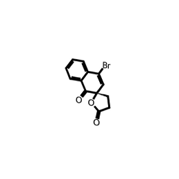 O=C1CC[C@@]2(C=C(Br)c3ccccc3C2=O)O1